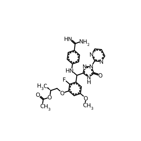 COc1cc(OC[C@H](C)OC(C)=O)c(F)c(C(Nc2ccc(C(=N)N)cc2)c2nn(-c3ncccn3)c(=O)[nH]2)c1